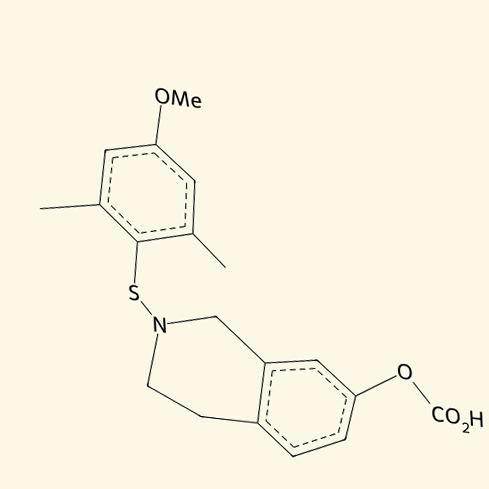 COc1cc(C)c(SN2CCc3ccc(OC(=O)O)cc3C2)c(C)c1